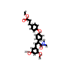 CCOC(=O)CCc1ccc(Oc2ccc(C(=Cc3cc(OC)cc(OC)c3)C(=O)N(C)C)cc2)cc1